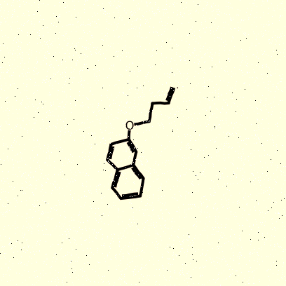 [CH]=CCCOc1ccc2ccccc2c1